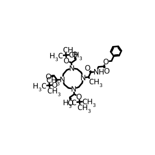 CC(C(=O)NCC(=O)OCc1ccccc1)N1CCN(C(C=O)OC(C)(C)C)CCN(C(C=O)OC(C)(C)C)CCN(C(C=O)OC(C)(C)C)CC1